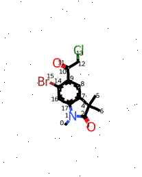 CN1C(=O)C(C)(C)c2cc(C(=O)CCl)c(Br)cc21